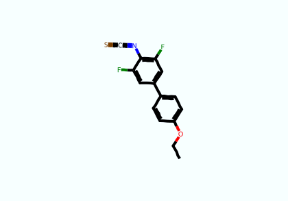 CCOc1ccc(-c2cc(F)c(N=C=S)c(F)c2)cc1